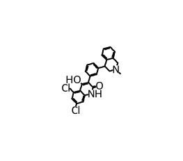 CN1Cc2ccccc2C(c2cccc(-c3c(O)c4c(Cl)cc(Cl)cc4[nH]c3=O)c2)C1